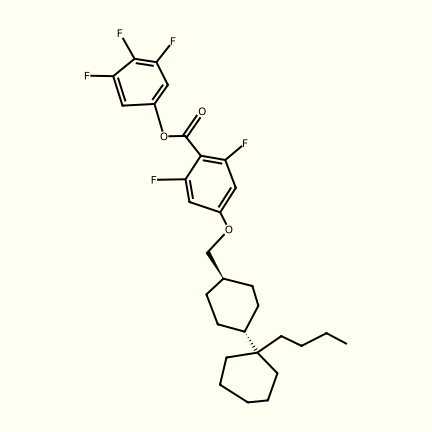 CCCCC1([C@H]2CC[C@H](COc3cc(F)c(C(=O)Oc4cc(F)c(F)c(F)c4)c(F)c3)CC2)CCCCC1